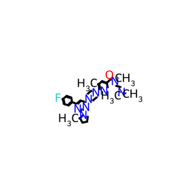 Cc1cc(C(=O)N(C)CCN(C)C)cnc1N1CCN(c2cc(-c3ccc(F)cc3)nc(N3CCCC3C)n2)CC1